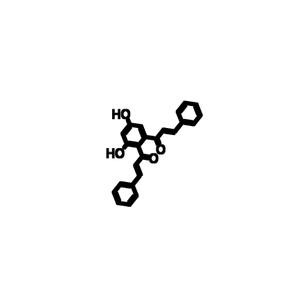 O=C(C=Cc1ccccc1)c1cc(O)cc(O)c1C(=O)C=Cc1ccccc1